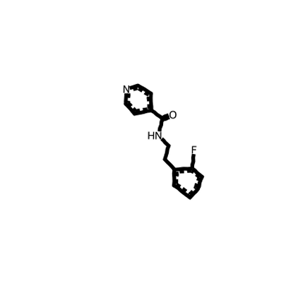 O=C(NCCc1ccccc1F)c1ccncc1